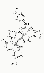 COc1ccc(NC(=O)Oc2c(Oc3cccc(-c4ccccc4O)c3OC(=O)Nc3ccc(OC)cc3)cccc2-c2ccccc2O)cc1